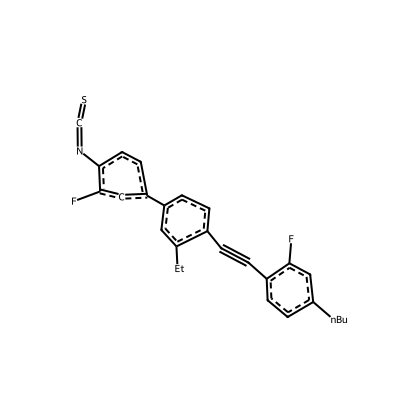 CCCCc1ccc(C#Cc2ccc(-c3ccc(N=C=S)c(F)c3)cc2CC)c(F)c1